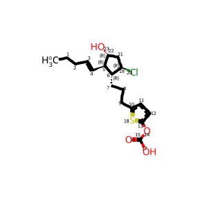 CCCC=C[C@@H]1[C@@H](CCCc2ccc(OC(=O)O)s2)[C@H](Cl)C[C@H]1O